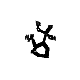 CCOP(=O)(O)c1cccnc1N